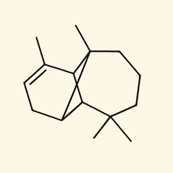 CC1=CCC2C3C1C2(C)CCCC3(C)C